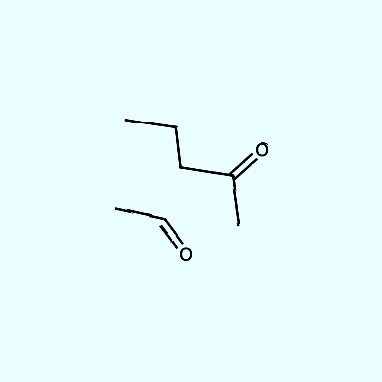 CC=O.CCCC(C)=O